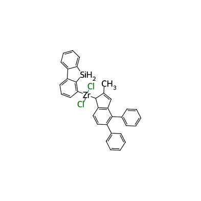 CC1=Cc2c(ccc(-c3ccccc3)c2-c2ccccc2)[CH]1[Zr]([Cl])([Cl])[c]1cccc2c1[SiH2]c1ccccc1-2